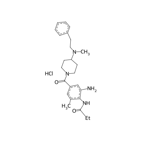 CCC(=O)Nc1c(C)cc(C(=O)N2CCC(N(C)CCc3ccccc3)CC2)cc1N.Cl